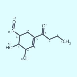 CCCC(=O)C1=CC(O)C(O)C(N=O)C1